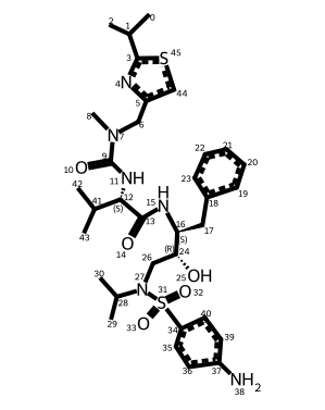 CC(C)c1nc(CN(C)C(=O)N[C@H](C(=O)N[C@@H](Cc2ccccc2)[C@H](O)CN(C(C)C)S(=O)(=O)c2ccc(N)cc2)C(C)C)cs1